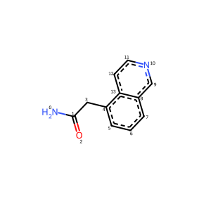 NC(=O)Cc1cccc2cnccc12